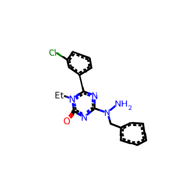 CCn1c(-c2cccc(Cl)c2)nc(N(N)Cc2ccccc2)nc1=O